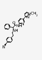 Cn1ccc(-c2ccc(NC(=O)C(NCCc3ccc(C#N)cc3)c3ccccc3)nc2)n1